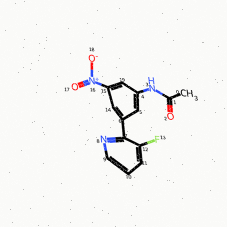 CC(=O)Nc1cc(-c2ncccc2F)cc([N+](=O)[O-])c1